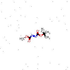 COC(=O)N=NC(=O)OC(C)(C)C